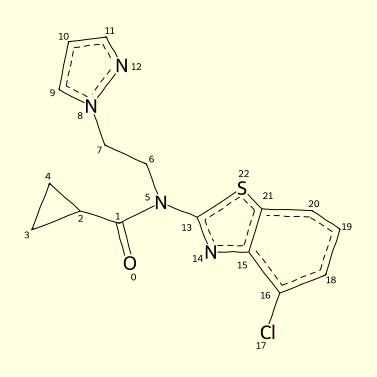 O=C(C1CC1)N(CCn1cccn1)c1nc2c(Cl)cccc2s1